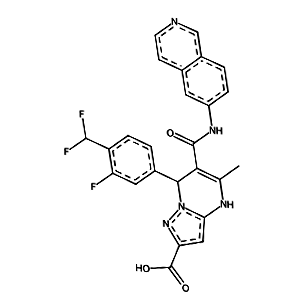 CC1=C(C(=O)Nc2ccc3cnccc3c2)C(c2ccc(C(F)F)c(F)c2)n2nc(C(=O)O)cc2N1